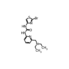 CCN(CC)Cc1cccc(NC(=O)Nc2csc(Br)n2)n1